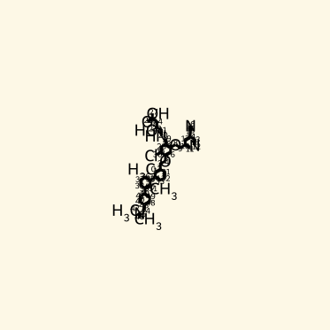 Cc1c(COc2cc(OCc3cncc(C#N)c3)c(CNC[C@@H](O)CC(=O)O)cc2Cl)cccc1-c1cccc(-c2ccc(CN(C)C)cc2)c1C